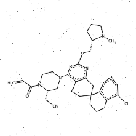 C=CC(=O)N1CCN(c2nc(OC[C@@H]3CCCN3C)nc3c2CCC2(CCCc4c(Cl)cccc42)C3)C[C@@H]1CC#N